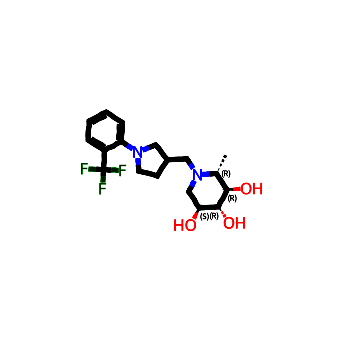 C[C@@H]1[C@@H](O)[C@H](O)[C@@H](O)CN1CC1CCN(c2ccccc2C(F)(F)F)C1